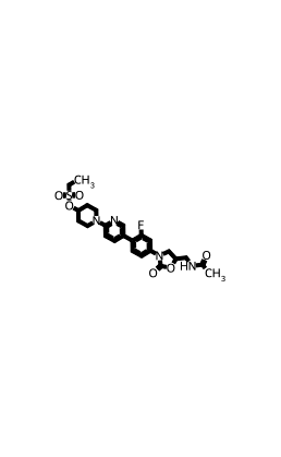 CCS(=O)(=O)OC1CCN(c2ccc(-c3ccc(N4CC(CNC(C)=O)OC4=O)cc3F)cn2)CC1